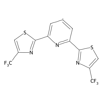 FC(F)(F)c1csc(-c2c[c]cc(-c3nc(C(F)(F)F)cs3)n2)n1